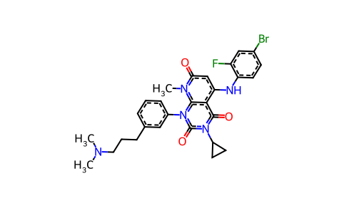 CN(C)CCCc1cccc(-n2c(=O)n(C3CC3)c(=O)c3c(Nc4ccc(Br)cc4F)cc(=O)n(C)c32)c1